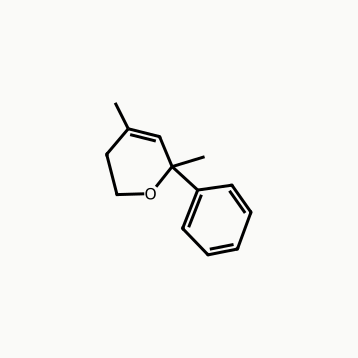 CC1=CC(C)(c2ccccc2)OCC1